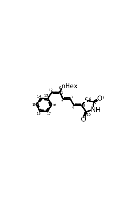 CCCCCCC(C=CC=C1SC(=O)NC1=O)=Cc1ccccc1